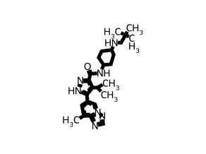 Cc1cc(-c2[nH]nc(C(=O)NC3CCC(NCC(C)(C)C)CC3)c2C(C)C)cn2ncnc12